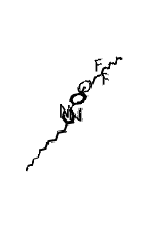 CCCCCCCCCCCc1cnc(-c2ccc(OCCC(F)C(F)CCCCC)cc2)nc1